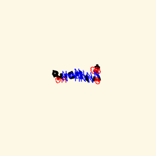 CC(C)(C)OC(=O)N1CCOC(Cn2cc(Nc3ncnc(N4CCN(c5ncc(C(O)c6ccccc6)cn5)CC4)n3)cn2)C1